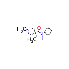 CCC1(C(=O)Nc2ccccc2)CCN(C)CC1